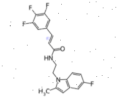 Cc1cc2cc(F)ccc2n1CCNC(=O)/C=C/c1cc(F)c(F)c(F)c1